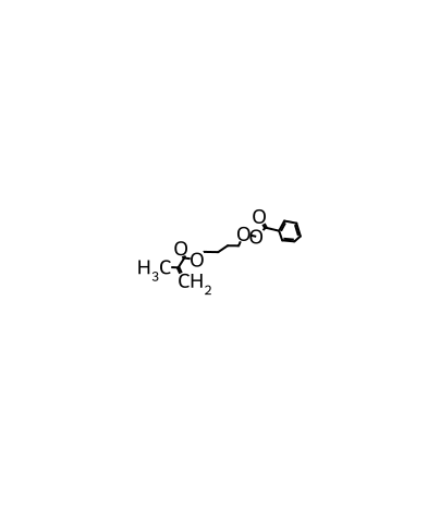 C=C(C)C(=O)OCCCCOOC(=O)c1ccccc1